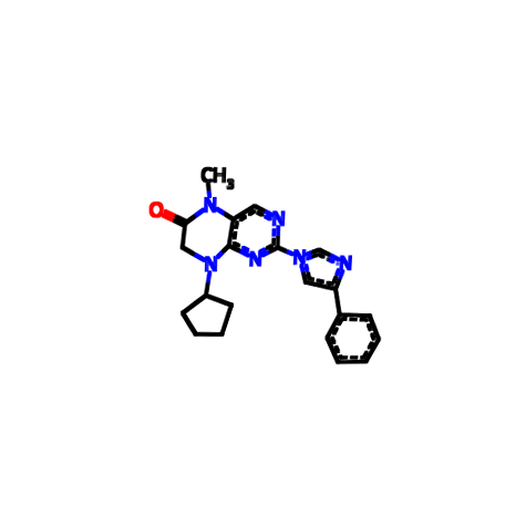 CN1C(=O)CN(C2CCCC2)c2nc(-n3cnc(-c4ccccc4)c3)ncc21